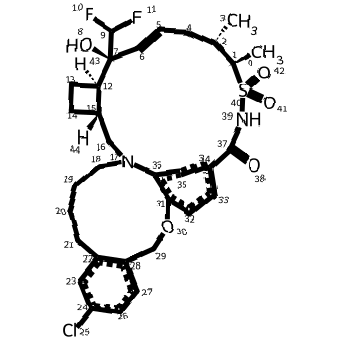 C[C@@H]1[C@@H](C)C/C=C/[C@@](O)(C(F)F)[C@@H]2CC[C@H]2CN2CCCCc3cc(Cl)ccc3COc3ccc(cc32)C(=O)NS1(=O)=O